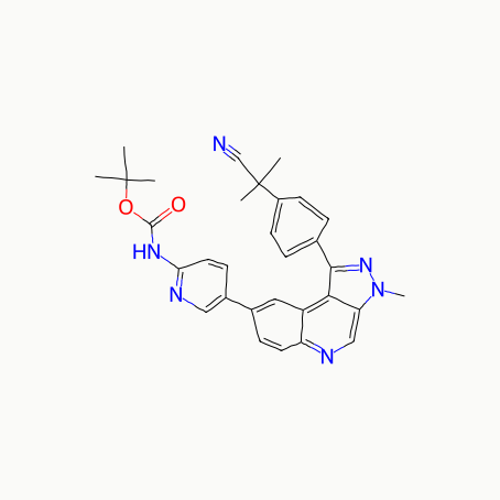 Cn1nc(-c2ccc(C(C)(C)C#N)cc2)c2c3cc(-c4ccc(NC(=O)OC(C)(C)C)nc4)ccc3ncc21